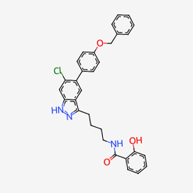 O=C(NCCCCc1n[nH]c2cc(Cl)c(-c3ccc(OCc4ccccc4)cc3)cc12)c1ccccc1O